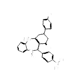 CCc1ccc(C2CC(=O)C3=C(C2)Nc2ccccc2N(C(C)=O)C3c2ccc(N(CC)CC)cc2)cc1